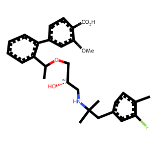 COc1cc(-c2ccccc2C(C)OC[C@@H](O)CNC(C)(C)Cc2ccc(C)c(F)c2)ccc1C(=O)O